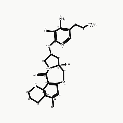 CCOC(=O)CCc1cnc(O[C@H]2C[C@@H]3COc4cc(C)c5c(c4C(=O)N3C2)OCCC5)c(Cl)c1N